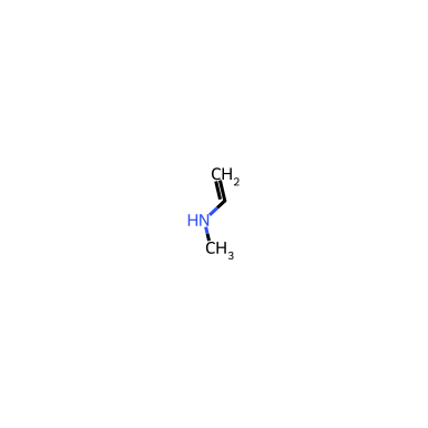 C=CNC